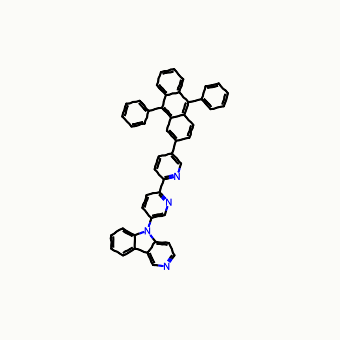 c1ccc(-c2c3ccccc3c(-c3ccccc3)c3cc(-c4ccc(-c5ccc(-n6c7ccccc7c7cnccc76)cn5)nc4)ccc23)cc1